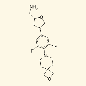 NC[C@H]1CN(c2cc(F)c(N3CCC4(CC3)COC4)c(F)c2)CO1